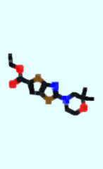 CCOC(=O)c1cc2sc(N3CCOC(C)(C)C3)nc2s1